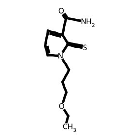 CCOCCCn1cccc(C(N)=O)c1=S